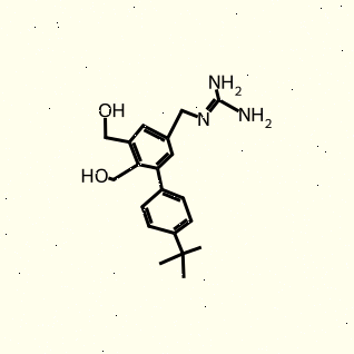 CC(C)(C)c1ccc(-c2cc(CN=C(N)N)cc(CO)c2CO)cc1